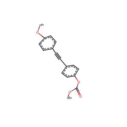 CCCOc1ccc(C#Cc2ccc(OC(=O)OC(C)(C)C)cc2)cc1